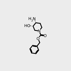 N[C@@H]1CCN(C(=O)OCc2ccccc2)C[C@@H]1O